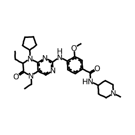 CCC1C(=O)N(CC)c2cnc(Nc3ccc(C(=O)NC4CCN(C)CC4)cc3OC)nc2N1C1CCCC1